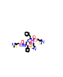 O=C(N[C@H](Cc1ccccc1)CN(C[C@@H](Cc1ccccc1)NC(=O)OCc1cncs1)C(=O)OCc1cncs1)OCc1cncs1